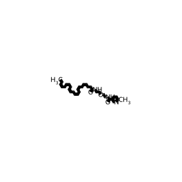 CC/C=C\C/C=C\C/C=C\C/C=C\C/C=C\C/C=C\CCC(=O)NCCOCCNC(=O)c1ccc(C)nc1